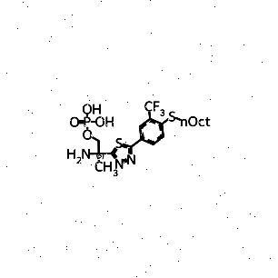 CCCCCCCCSc1ccc(-c2nnc([C@@](C)(N)COP(=O)(O)O)s2)cc1C(F)(F)F